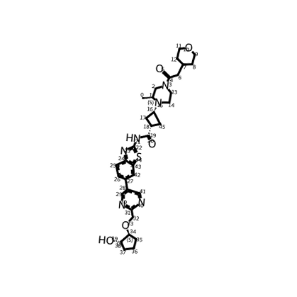 C[C@H]1CN(C(=O)CC2CCOCC2)CCN1[C@H]1C[C@@H](C(=O)Nc2nc3ccc(-c4cnc(CO[C@H]5CCC[C@@H]5O)nc4)cc3s2)C1